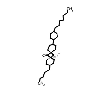 CCCCCCCC1CCC(C2CC[C@]3(CC2)C(=O)[C@@]2(CCC(CCCCC)CC2)[C@H]3F)CC1